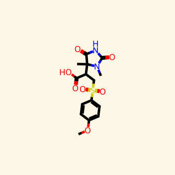 COc1ccc(S(=O)(=O)CC(C(=O)O)C2(C)C(=O)NC(=O)N2C)cc1